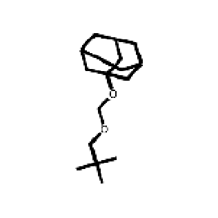 CC(C)(C)COCOC12CC3CC(CC(C3)C1)C2